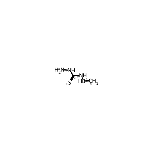 CBNC(=S)NN